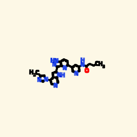 CCCC(=O)Nc1cncc(-c2ccc3[nH]nc(-c4cc5c(-n6cnc(C)c6)cncc5[nH]4)c3n2)c1